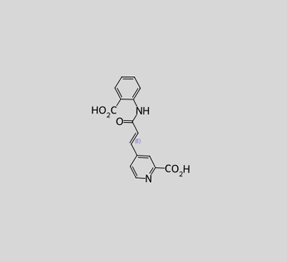 O=C(/C=C/c1ccnc(C(=O)O)c1)Nc1ccccc1C(=O)O